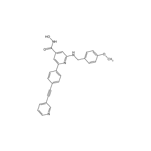 COc1ccc(CNc2cc(C(=O)NO)cc(-c3ccc(C#Cc4cccnc4)cc3)n2)cc1